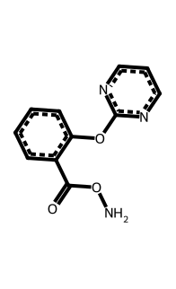 NOC(=O)c1ccccc1Oc1ncccn1